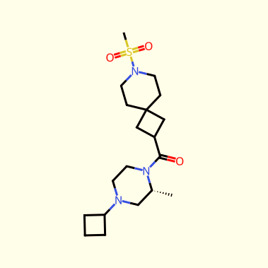 C[C@@H]1CN(C2CCC2)CCN1C(=O)C1CC2(CCN(S(C)(=O)=O)CC2)C1